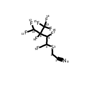 N#CCSC(F)C(F)C(F)(C(F)F)C(F)(F)F